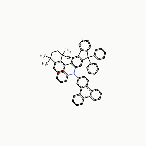 CC1(C)CCC(C)(C)c2c(-c3cc4c(cc3N(c3ccccc3)c3ccc5c6ccccc6c6ccccc6c5c3)C(c3ccccc3)(c3ccccc3)c3ccccc3-4)cccc21